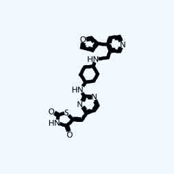 O=C1NC(=O)C(=Cc2ccnc(NC3CCC(NCc4cnccc4-c4ccoc4)CC3)n2)S1